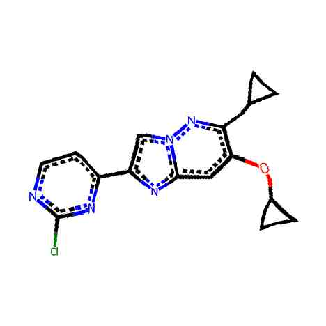 Clc1nccc(-c2cn3nc(C4CC4)c(OC4CC4)cc3n2)n1